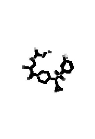 CCC(C)C(CNC(=O)OC(C)(C)C)C(=O)N1CCC(N(C2CC2)S(=O)(=O)c2cccc(C(F)(F)F)c2)CC1